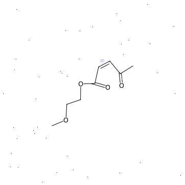 COCCOC(=O)/C=C\C(C)=O